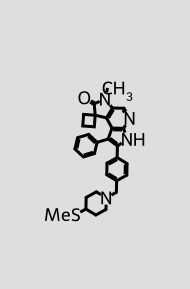 CSC1CCN(Cc2ccc(-c3[nH]c4ncc5c(c4c3-c3ccccc3)C3(CCC3)C(=O)N5C)cc2)CC1